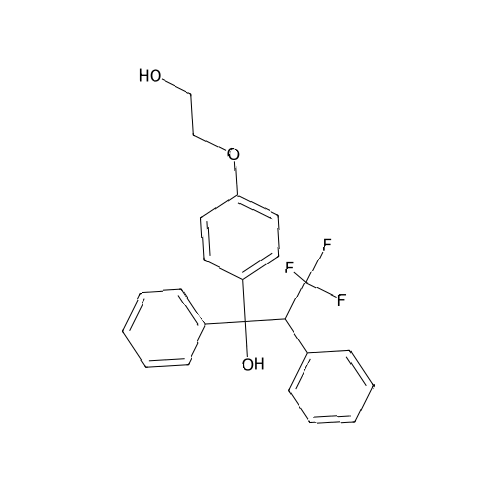 OCCOc1ccc(C(O)(c2ccccc2)C(c2ccccc2)C(F)(F)F)cc1